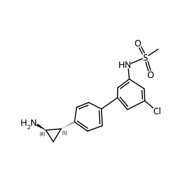 CS(=O)(=O)Nc1cc(Cl)cc(-c2ccc([C@@H]3C[C@H]3N)cc2)c1